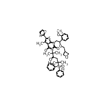 COc1ccccc1C(Cn1c(=O)n(C(C)(C)C(=O)CC(C)(C)[Si](O)(c2ccccc2)c2ccccc2)c(=O)c2c(C)c(-c3ncco3)sc21)OCC1COC1